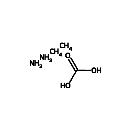 C.C.N.N.O=C(O)O